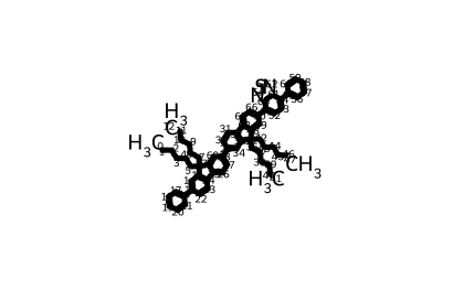 CCCCCCC1(CCCCCC)c2cc(-c3ccccc3)ccc2-c2ccc(-c3ccc4c(c3)C(CCCCCC)(CCCCCC)c3cc(-c5ccc(-c6ccccc6)c6nsnc56)ccc3-4)cc21